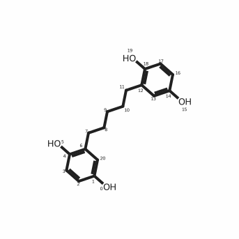 Oc1ccc(O)c(CCCCCc2cc(O)ccc2O)c1